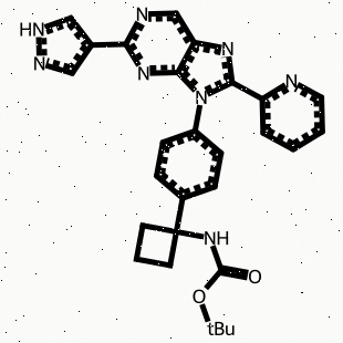 CC(C)(C)OC(=O)NC1(c2ccc(-n3c(-c4ccccn4)nc4cnc(-c5cn[nH]c5)nc43)cc2)CCC1